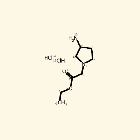 CCOC(=O)CN1CCC(N)C1.Cl.Cl